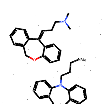 CN(C)CCC=C1c2ccccc2COc2ccccc21.CNCCCN1c2ccccc2CCc2ccccc21